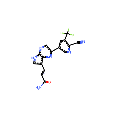 N#Cc1ncc(-c2cnc3[nH]cc(/C=C/C(N)=O)c3n2)cc1C(F)(F)F